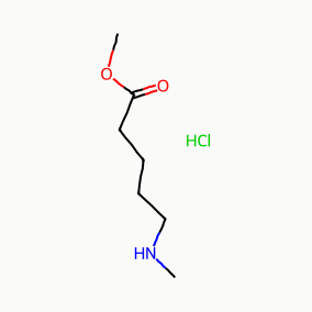 CNCCCCC(=O)OC.Cl